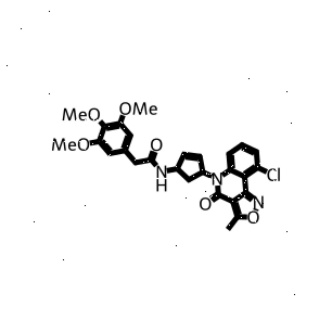 COc1cc(CC(=O)NC2C=CC(n3c(=O)c4c(C)onc4c4c(Cl)cccc43)C2)cc(OC)c1OC